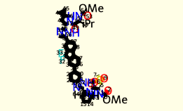 COC(=O)N[C@@H](CS(C)(=O)=O)C(=O)N1[C@@H]2CC[C@@H](C2)[C@H]1c1nc2ccc(-c3ccc4c(c3)C(F)(F)c3cc(-c5cnc([C@@H]6CC7(CC7)CN6C(=O)[C@@H](NC(=O)OC)C(C)C)[nH]5)ccc3-4)cc2[nH]1